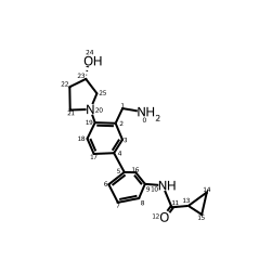 NCc1cc(-c2cccc(NC(=O)C3CC3)c2)ccc1N1CC[C@H](O)C1